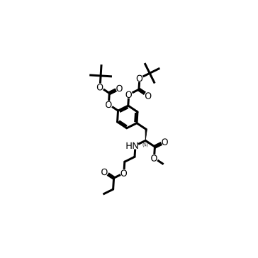 CCC(=O)OCCN[C@@H](Cc1ccc(OC(=O)OC(C)(C)C)c(OC(=O)OC(C)(C)C)c1)C(=O)OC